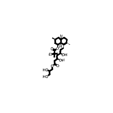 CCC(C)(C)C(=O)O[C@H]1C[C@@H](C)C[C@@H]2CC[C@H](C)[C@H](CC[C@@H](O)C[C@@H](O)CC(=O)OCC(O)CO)[C@H]21